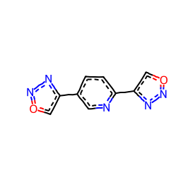 c1cc(-c2conn2)ncc1-c1conn1